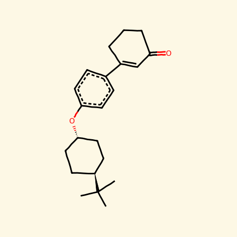 CC(C)(C)[C@H]1CC[C@H](Oc2ccc(C3=CC(=O)CCC3)cc2)CC1